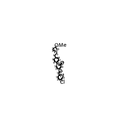 CO[C@H]1CCN(CCc2ccc(-n3ccc(OCc4ccc(Cl)cn4)cc3=O)cc2)C1